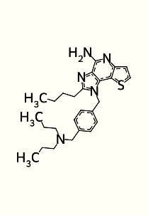 CCCCc1nc2c(N)nc3ccsc3c2n1Cc1ccc(CN(CCC)CCC)cc1